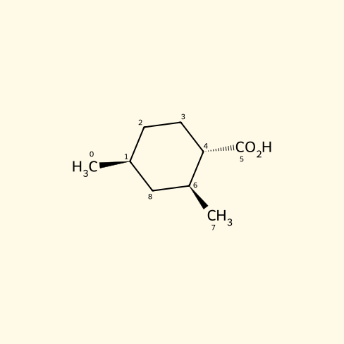 C[C@H]1CC[C@H](C(=O)O)[C@@H](C)C1